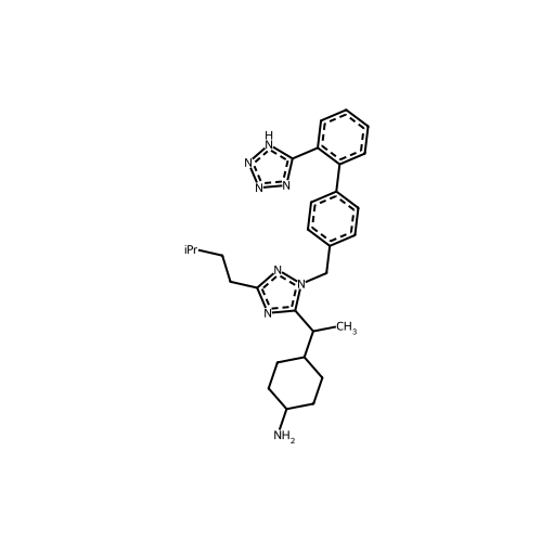 CC(C)CCc1nc(C(C)C2CCC(N)CC2)n(Cc2ccc(-c3ccccc3-c3nnn[nH]3)cc2)n1